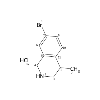 CC1CNCc2cc(Br)ccc21.Cl